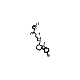 O=C(NCCCNC1CCCc2c1[nH]c1ccc(Br)cc21)c1ccc(Cl)s1